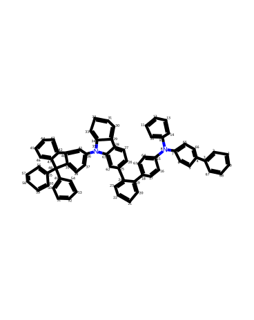 c1ccc(-c2ccc(N(c3ccccc3)c3ccc(-c4ccccc4-c4ccc5c6ccccc6n(-c6ccc7c(c6)-c6ccccc6C7(c6ccccc6)c6ccccc6)c5c4)cc3)cc2)cc1